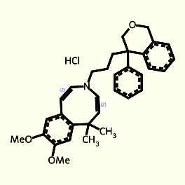 COc1cc2c(cc1OC)C(C)(C)/C=C\N(CCCC1(c3ccccc3)COCc3ccccc31)/C=C\2.Cl